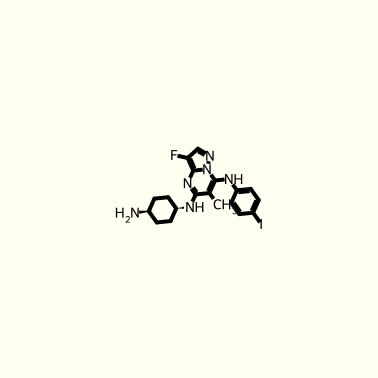 Cc1c(N[C@H]2CC[C@H](N)CC2)nc2c(F)cnn2c1Nc1ccc(I)cc1